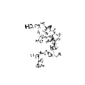 COc1cc(COc2cccc(-c3cc(F)c(Cc4nc5ccc(C(=O)O)cc5n4C[C@@H]4CCO4)cc3F)n2)nn1C